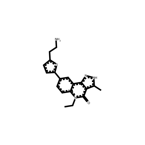 CCn1c(=O)c2c(C)[nH]nc2c2cc(-c3ccc(CCN)s3)ccc21